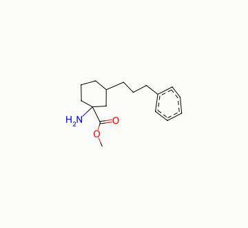 COC(=O)C1(N)CCCC(CCCc2ccccc2)C1